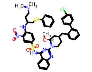 CO[C@@H]1CC(Cc2ccccc2-c2ccc(Cl)cc2)CCN1c1nc(NS(=O)(=O)c2ccc(NC(CCN(C)C)CSc3ccccc3)c([N+](=O)[O-])c2)c2ccccc2n1